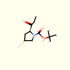 CCC(=O)[C@@H]1C[C@@H](F)CN1C(=O)OC(C)(C)C